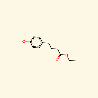 CCOC(=O)CCCc1ccc([O])cc1